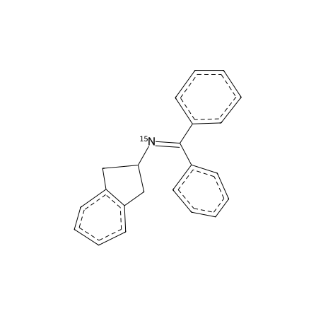 c1ccc(C(=[15N]C2Cc3ccccc3C2)c2ccccc2)cc1